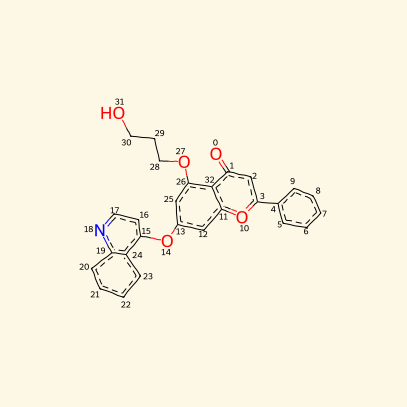 O=c1cc(-c2ccccc2)oc2cc(Oc3ccnc4ccccc34)cc(OCCCO)c12